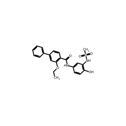 CCOc1cc(-c2ccccc2)ccc1C(=O)Nc1ccc(O)c(NS(C)(=O)=O)c1